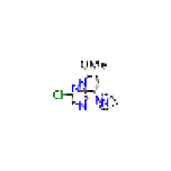 COc1ccc(CN2C3CC2CN(c2cnc(Cl)cn2)C3)cn1